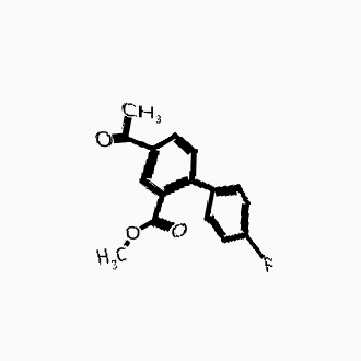 COC(=O)c1cc(C(C)=O)ccc1-c1ccc(F)cc1